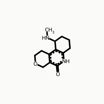 CNC1CCCc2[nH]c(=O)c3c(c21)CCOC3